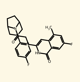 Cc1cc(F)cc2c(=O)[nH]c(CCC(=O)N3C4CCC3CN(c3ccc(F)cn3)C4)cc12